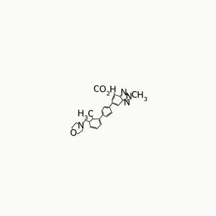 CC1C(c2ccc(-c3cc(C(=O)O)c4nn(C)nc4c3)cc2)=CC=CC1CN1CCOCC1